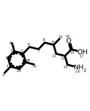 Cc1cc(C)c(CCCC(C)CC(CN)C(=O)O)c(C)c1